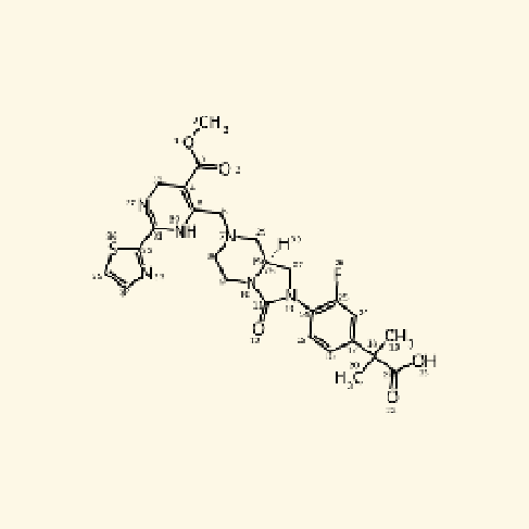 COC(=O)C1=C(CN2CCN3C(=O)N(c4ccc(C(C)(C)C(=O)O)cc4F)C[C@@H]3C2)NC(c2nccs2)=NC1